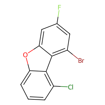 Fc1cc(Br)c2c(c1)oc1cccc(Cl)c12